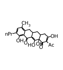 CCCc1cc(C)c2c(c1O)C(=O)C1=C(O)C3(O)C(=O)C(C(C)=O)=C(O)CC3CC1C2